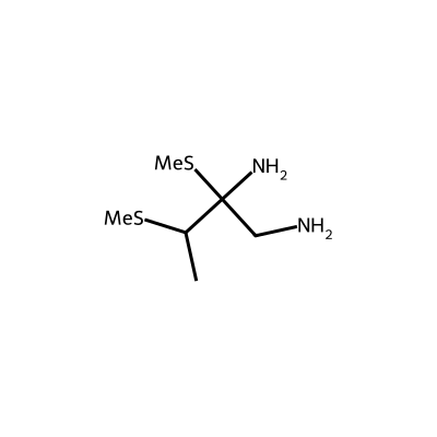 CSC(C)C(N)(CN)SC